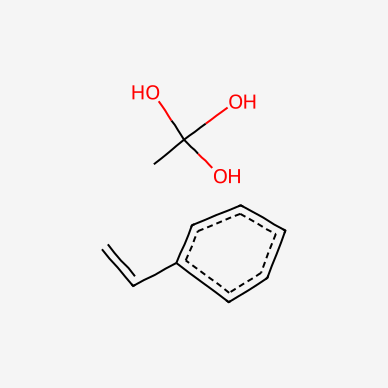 C=Cc1ccccc1.CC(O)(O)O